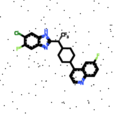 Fc1ccc2nccc(C3CCC([C@H](c4nc5cc(F)c(Cl)cc5[nH]4)C(F)(F)F)CC3)c2c1